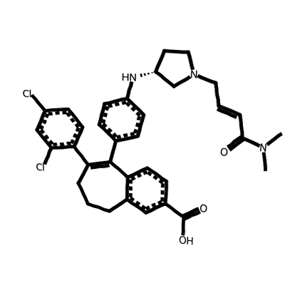 CN(C)C(=O)/C=C/CN1CC[C@@H](Nc2ccc(C3=C(c4ccc(Cl)cc4Cl)CCCc4cc(C(=O)O)ccc43)cc2)C1